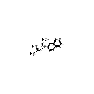 C=[N+](NC(=N)N)c1ccc2ccccc2c1.Cl